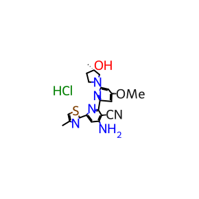 COc1cc(-c2nc(-c3nc(C)cs3)cc(N)c2C#N)nc(N2CC[C@@](C)(O)C2)c1.Cl